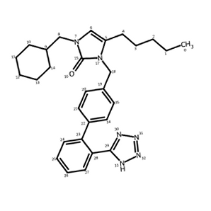 CCCCCc1cn(CC2CCCCC2)c(=O)n1Cc1ccc(-c2ccccc2-c2nnn[nH]2)cc1